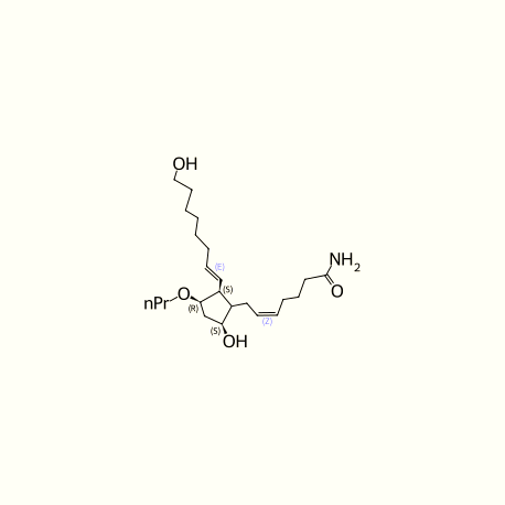 CCCO[C@@H]1C[C@H](O)C(C/C=C\CCCC(N)=O)[C@@H]1/C=C/CCCCCCO